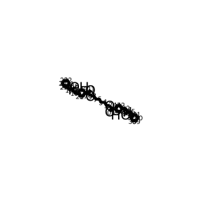 O=C(OCCCCCCOC(=O)c1ccc(CN(O)Cc2ccccc2)cc1)c1ccc(CN(O)Cc2ccccc2)cc1